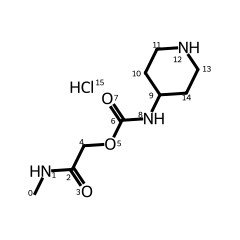 CNC(=O)COC(=O)NC1CCNCC1.Cl